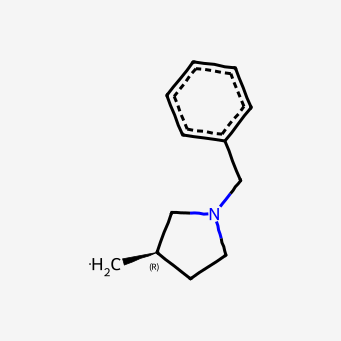 [CH2][C@@H]1CCN(Cc2ccccc2)C1